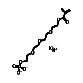 C=C(C)C(=O)OCCOCCOCCOCCOP(=O)([O-])[O-].[K+].[K+]